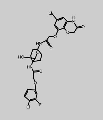 O=C1COc2c(cc(Cl)cc2OCC(=O)NC23CCC(NC(=O)COc4ccc(Cl)c(F)c4)(CC2)C(O)C3)N1